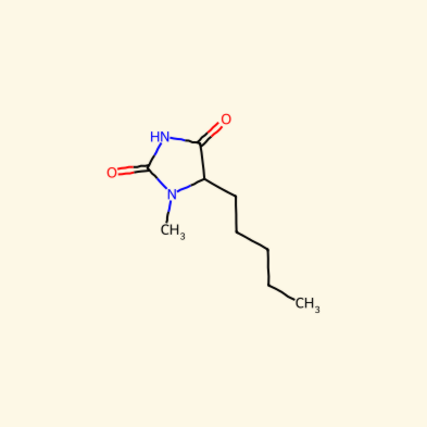 CCCCCC1C(=O)NC(=O)N1C